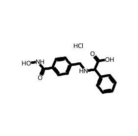 Cl.O=C(NO)c1ccc(CNC(C(=O)O)c2ccccc2)cc1